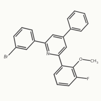 COc1c(F)cccc1-c1cc(-c2ccccc2)cc(-c2cccc(Br)c2)n1